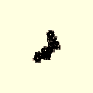 CCS(=O)(=O)N(C(=O)[C@@H]1C[C@H]2CCCCC2N1C)c1ccc(C(=N)NC(=O)[C@H](C)NC2CCCCC2)cc1F